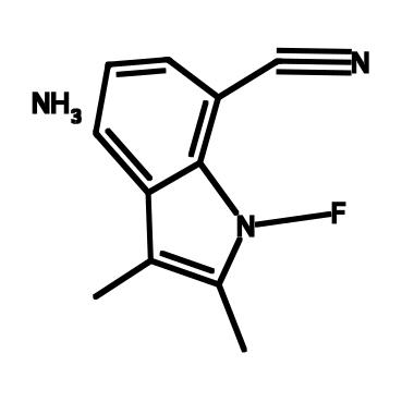 Cc1c(C)n(F)c2c(C#N)cccc12.N